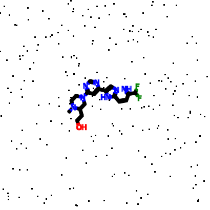 CN1CCN(c2cc(-c3cnc(/C=C\C(=N)C(F)F)[nH]3)ncn2)CC1CCO